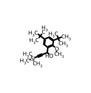 COc1c(C(O)C#C[Si](C)(C)C)cc(C(C)(C)C)cc1C(C)(C)C